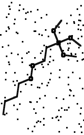 CCCCOOCC[Si](OC)(OC)OC